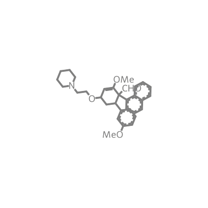 COC1=CC(OCCN2CCCCC2)CC(c2cccc(OC)c2)C1(C=O)c1cccc2ccccc12